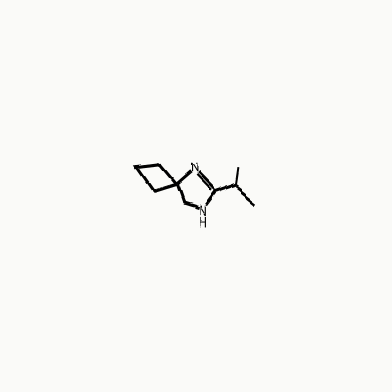 CC(C)C1=NC2(CCC2)CN1